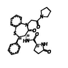 O=C1CC[C@@H](C(=O)N[C@H]2C(=O)N(CC(=O)N3CCCC3)c3ccccc3S[C@@H]2c2ccccc2)N1